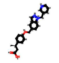 C[C@@H](CC(=O)O)c1ccc(OCc2ccc3c(cnn3Cc3cccnc3)c2)cc1